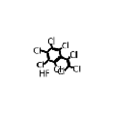 ClC(Cl)=C(Cl)c1c(Cl)c(Cl)c(Cl)c(Cl)c1Cl.F